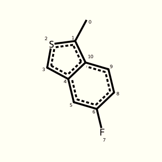 Cc1scc2cc(F)ccc12